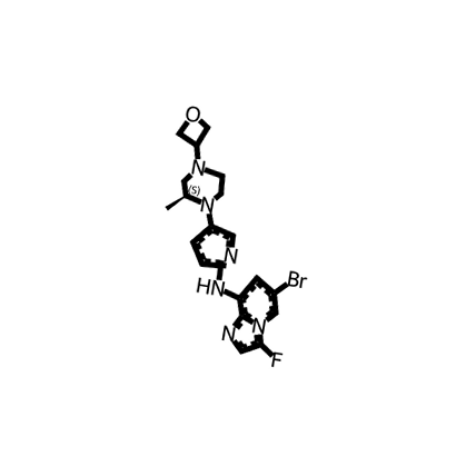 C[C@H]1CN(C2COC2)CCN1c1ccc(Nc2cc(Br)cn3c(F)cnc23)nc1